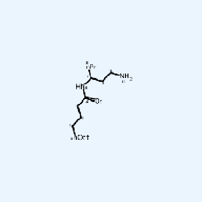 CCCCCCCCCCCC(=O)NC(CCC)CCN